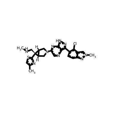 CNC[C@@]1(c2nc(C)cs2)[C@@H]2CN(c3cnc4c(-c5ccc6nn(C)cc6c5Cl)n[nH]c4n3)C[C@@H]21